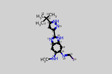 CNc1cc2nc(-c3cc(C(C)(C)C)[nH]n3)[nH]c2cc1/N=C/I